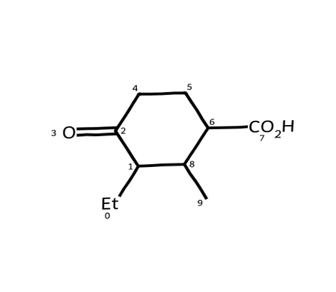 CCC1C(=O)CCC(C(=O)O)C1C